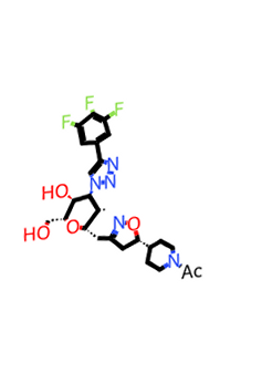 CC(=O)N1CCC([C@@H]2CC(C[C@H]3[CH][C@H](n4cc(-c5cc(F)c(F)c(F)c5)nn4)[C@@H](O)[C@@H](CO)O3)=NO2)CC1